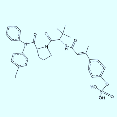 C/C(=C\C(=O)N[C@H](C(=O)N1CCCC1C(=O)N(c1ccccc1)c1ccc(I)cc1)C(C)(C)C)c1ccc(OP(=O)(O)O)cc1